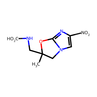 CC1(CNC(=O)O)Cn2cc([N+](=O)[O-])nc2O1